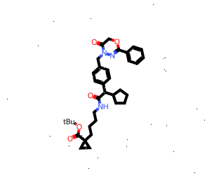 CC(C)(C)OC(=O)C1(CCCCNC(=O)C(c2ccc(CN3N=C(c4ccccc4)OCC3=O)cc2)C2CCCC2)CC1